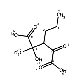 CCCC(C(=O)C(=O)O)C(C)(O)C(=O)O